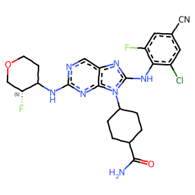 N#Cc1cc(F)c(Nc2nc3cnc(NC4CCOC[C@H]4F)nc3n2C2CCC(C(N)=O)CC2)c(Cl)c1